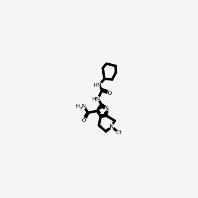 CCN1CCc2c(sc(NC(=O)NC3CCCCC3)c2C(N)=O)C1